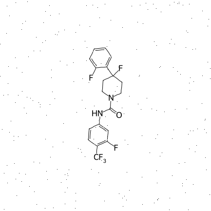 O=C(Nc1ccc(C(F)(F)F)c(F)c1)N1CCC(F)(c2ccccc2F)CC1